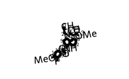 C#CCN(c1ccc(NS(=O)(=O)c2ccc(OC)c(F)c2)c2ccccc12)[C@@H](C)CC(=O)OC